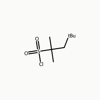 CC(C)(C)CC(C)(C)S(=O)(=O)Cl